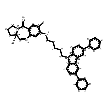 Cc1cc2c(cc1OCCCCCn1c3ccc(-c4ccccc4)cc3c3cc(-c4ccccc4)ccc31)N=C[C@@H]1CCCN1C2=O